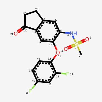 CS(=O)(=O)Nc1cc2c(cc1Oc1ccc(F)cc1F)C(=O)CC2